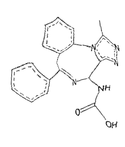 Cc1nnc2n1-c1ccccc1C(c1ccccc1)=NC2NC(=O)O